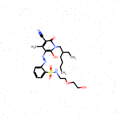 CCCCC(CC)Cn1c(O)c(/N=N/c2ccccc2S(=O)(=O)NCCOCCO)c(C)c(C#N)c1=O